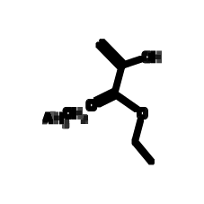 C=C(O)C(=O)OCC.O.[AlH3]